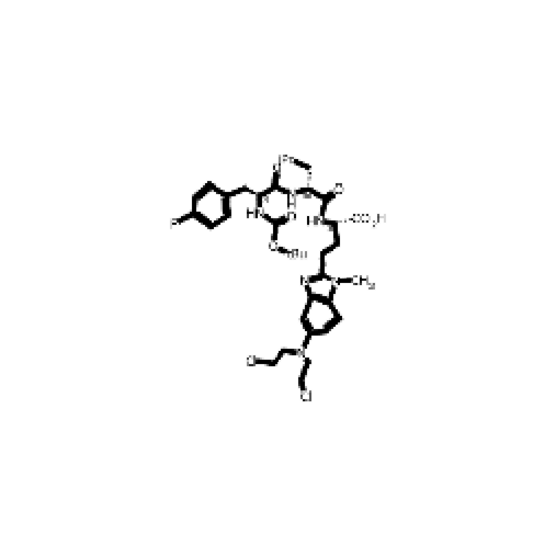 CC(C)C[C@@H](NC(=O)[C@H](Cc1ccc(F)cc1)NC(=O)OC(C)(C)C)C(=O)N[C@@H](CCc1nc2cc(N(CCCl)CCCl)ccc2n1C)C(=O)O